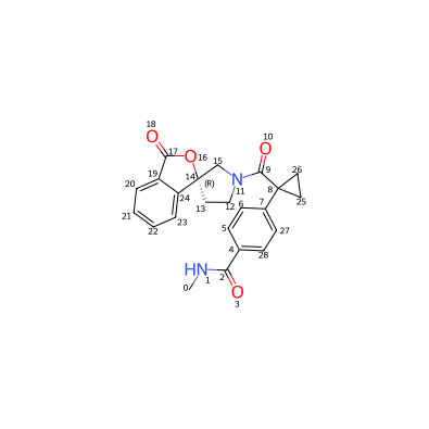 CNC(=O)c1ccc(C2(C(=O)N3CC[C@@]4(C3)OC(=O)c3ccccc34)CC2)cc1